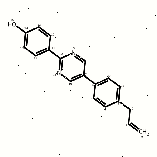 C=CCc1ccc(-c2cnc(-c3ccc(O)cc3)nc2)cc1